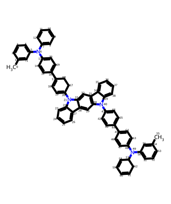 Cc1cccc(N(c2ccccc2)c2ccc(C3=CC=C(n4c5ccccc5c5cc6c(cc54)c4ccccc4n6-c4ccc(-c5ccc(N(c6cccc(C)c6)C6C=CC=CC6)cc5)cc4)CC3)cc2)c1